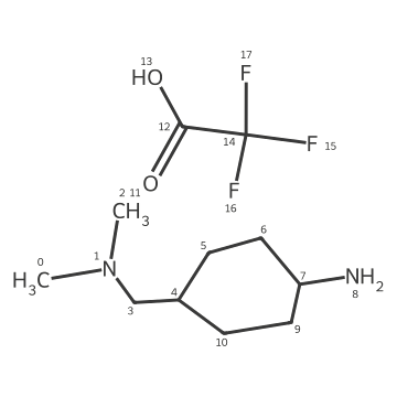 CN(C)CC1CCC(N)CC1.O=C(O)C(F)(F)F